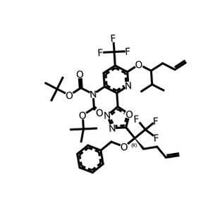 C=CCC[C@@](OCc1ccccc1)(c1nnc(-c2nc(OC(CC=C)C(C)C)c(C(F)(F)F)cc2N(C(=O)OC(C)(C)C)C(=O)OC(C)(C)C)o1)C(F)(F)F